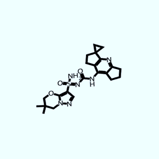 CC1(C)COc2c(S(N)(=O)=NC(=O)Nc3c4c(nc5c3CCC53CC3)CCC4)cnn2C1